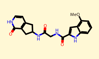 COc1cccc2[nH]c(C(=O)NCC(=O)NC3Cc4cc[nH]c(=O)c4C3)cc12